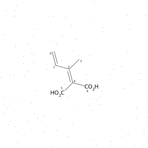 C=CC(C)=C(C(=O)O)C(=O)O